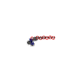 COCCOCCOCCOCCOCCOc1ccc(CC(=O)N(C)[C@H](CN2CCCC2)c2ccccc2)cc1